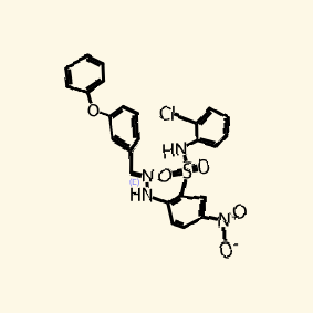 O=[N+]([O-])c1ccc(N/N=C/c2cccc(Oc3ccccc3)c2)c(S(=O)(=O)Nc2ccccc2Cl)c1